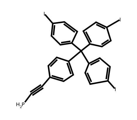 PC#Cc1ccc(C(c2ccc(I)cc2)(c2ccc(I)cc2)c2ccc(I)cc2)cc1